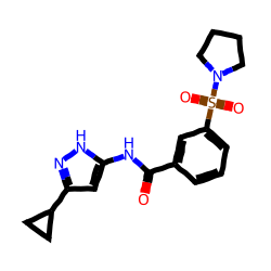 O=C(Nc1cc(C2CC2)n[nH]1)c1cccc(S(=O)(=O)N2CCCC2)c1